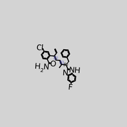 C=C/C(=C\C=C(/C)[C@@H](Cc1ccccc1)c1nc2cc(F)ccc2[nH]1)c1cc(Cl)ccc1C(N)=O